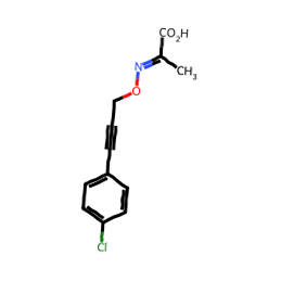 CC(=NOCC#Cc1ccc(Cl)cc1)C(=O)O